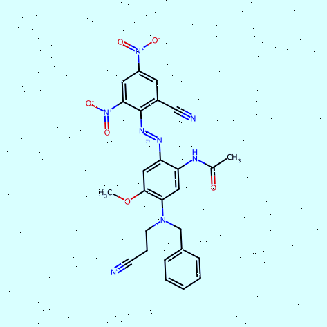 COc1cc(/N=N/c2c(C#N)cc([N+](=O)[O-])cc2[N+](=O)[O-])c(NC(C)=O)cc1N(CCC#N)Cc1ccccc1